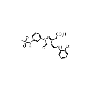 CCc1ccccc1N/C=C1/C(=O)N(c2cccc(NS(C)(=O)=O)c2)N=C1CC(=O)O